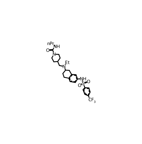 CCCNC(=O)N1CCC(CN(CC)C2CCc3ccc(NS(=O)(=O)c4ccc(C(F)(F)F)cc4)cc3C2)CC1